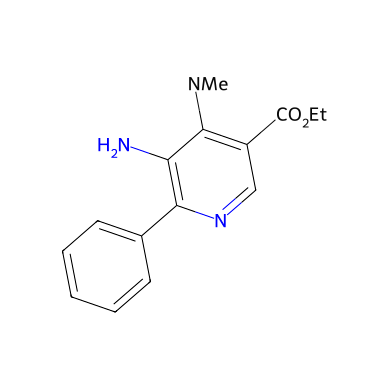 CCOC(=O)c1cnc(-c2ccccc2)c(N)c1NC